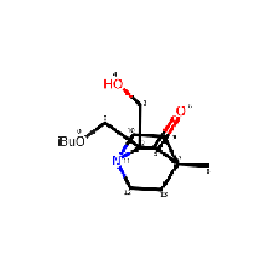 CC(C)COCC1(CO)C(=O)C2(C)CCN1CC2